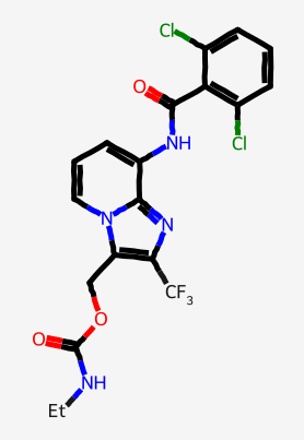 CCNC(=O)OCc1c(C(F)(F)F)nc2c(NC(=O)c3c(Cl)cccc3Cl)cccn12